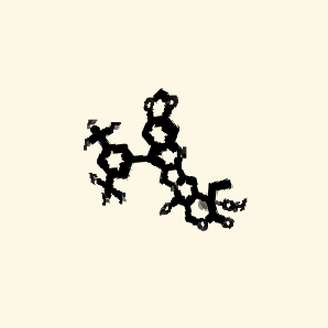 CC[C@@]1(O)C(=O)OCc2c1cc1n(c2=O)Cc2c-1nc1cc3c(cc1c2-c1cc(C(F)(F)F)cc(C(F)(F)F)c1)OCO3